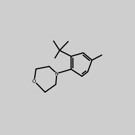 Cc1ccc(N2CCOCC2)c(C(C)(C)C)c1